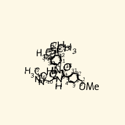 COCc1ccc([C@@H](NC(=O)Cc2nnc(C)o2)C(=O)Nc2ccc([Si](C)(C)C)c(F)c2)cc1